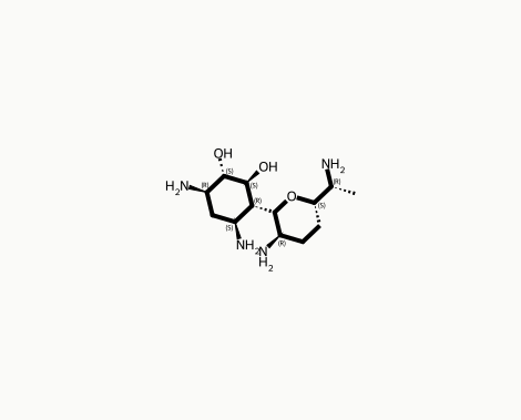 C[C@@H](N)[C@@H]1CC[C@@H](N)C([C@H]2[C@H](O)[C@@H](O)[C@H](N)C[C@@H]2N)O1